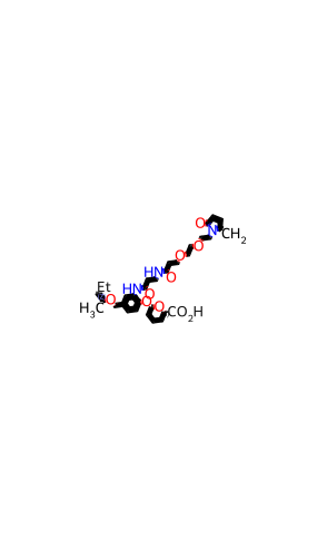 C=C1C=CC(=O)N1CCOCCOCCC(=O)NCCC(=O)Nc1cc(CO/C(C)=C\CC)ccc1OC1CCC[C@@H](C(=O)O)O1